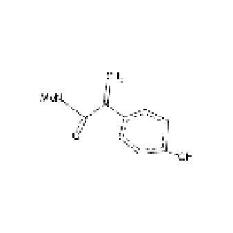 C=C(C(=O)NC)c1ccc(O)cc1